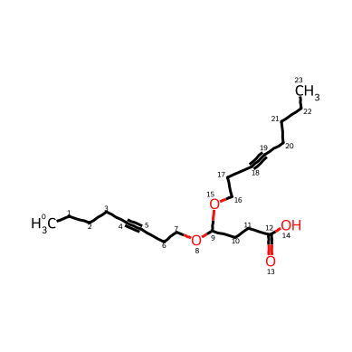 CCCCC#CCCOC(CCC(=O)O)OCCC#CCCCC